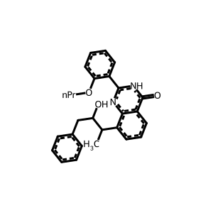 CCCOc1ccccc1-c1nc2c(C(C)C(O)Cc3ccccc3)cccc2c(=O)[nH]1